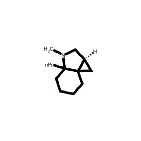 CCCC12CCCCC13C[C@@H]3CN2C